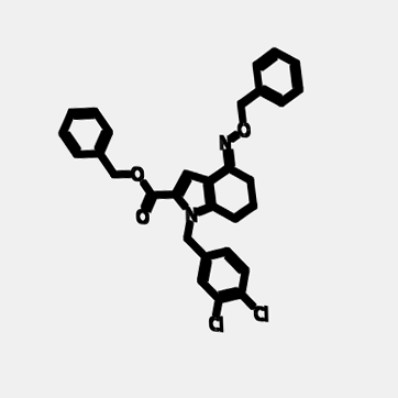 O=C(OCc1ccccc1)c1cc2c(n1Cc1ccc(Cl)c(Cl)c1)CCC/C2=N\OCc1ccccc1